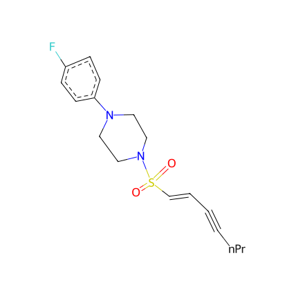 CCCC#CC=CS(=O)(=O)N1CCN(c2ccc(F)cc2)CC1